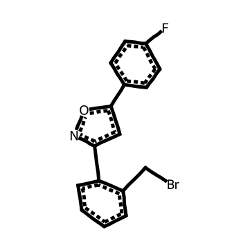 Fc1ccc(-c2cc(-c3ccccc3CBr)no2)cc1